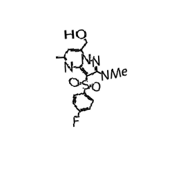 CNc1nn2c(CO)cc(C)nc2c1S(=O)(=O)c1ccc(F)cc1